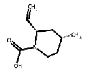 C=C[C@H]1C[C@H](C)CCN1C(=O)O